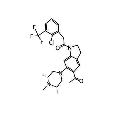 CC(=O)c1cc2c(cc1N1C[C@@H](C)N(C)[C@@H](C)C1)N(C(=O)Cc1cccc(C(F)(F)F)c1Cl)CC2